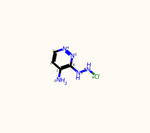 Nc1ccnnc1NNCl